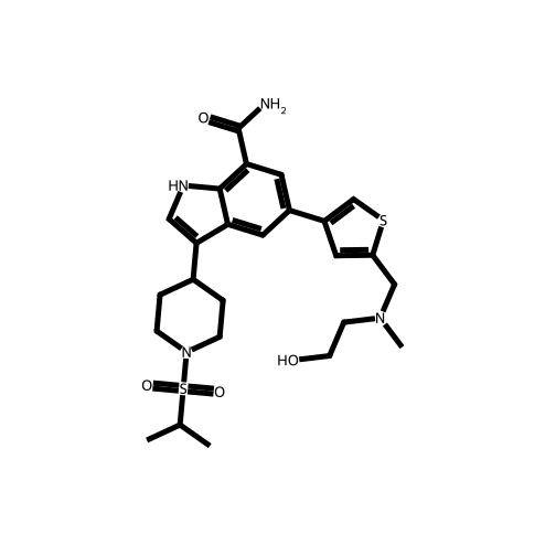 CC(C)S(=O)(=O)N1CCC(c2c[nH]c3c(C(N)=O)cc(-c4csc(CN(C)CCO)c4)cc23)CC1